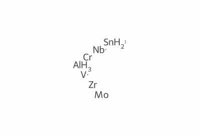 [AlH3].[Cr].[Mo].[Nb].[SnH2].[V].[Zr]